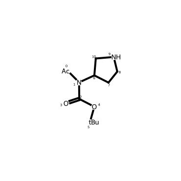 CC(=O)N(C(=O)OC(C)(C)C)C1CCNC1